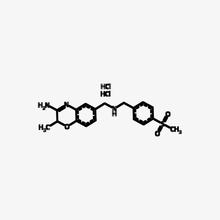 CC1Oc2ccc(CNCc3ccc(S(C)(=O)=O)cc3)cc2N=C1N.Cl.Cl